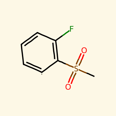 CS(=O)(=O)c1[c]cccc1F